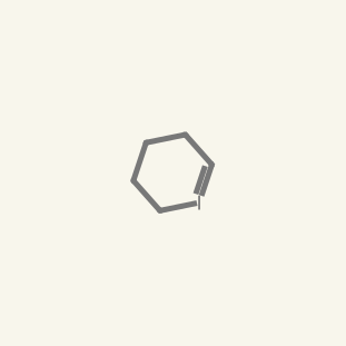 C1=ICCCC1